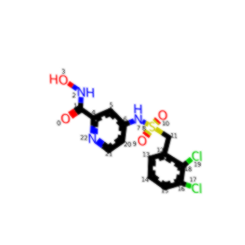 O=C(NO)c1cc(NS(=O)(=O)Cc2cccc(Cl)c2Cl)ccn1